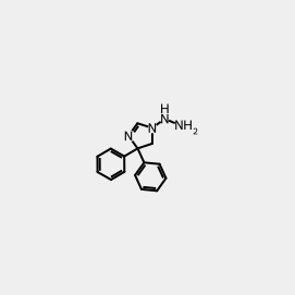 NNN1C=NC(c2ccccc2)(c2ccccc2)C1